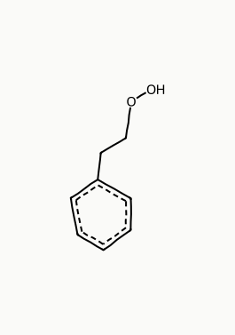 OOCCc1ccccc1